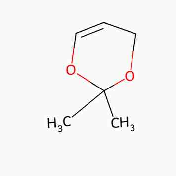 CC1(C)OC=CCO1